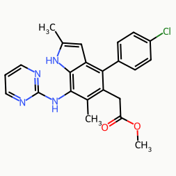 COC(=O)Cc1c(C)c(Nc2ncccn2)c2[nH]c(C)cc2c1-c1ccc(Cl)cc1